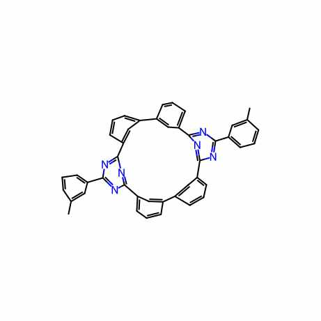 Cc1cccc(-c2nc3nc(n2)c2cccc(c2)c2cccc(c2)c2nc(-c4cccc(C)c4)nc(n2)c2cccc(c2)c2cccc3c2)c1